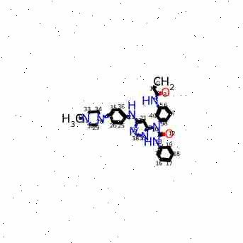 C=CC(=O)Nc1cccc(N(C(=O)Nc2ccccc2)c2cc(Nc3ccc(N4CCN(C)CC4)cc3)ncn2)c1